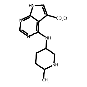 CCOC(=O)c1c[nH]c2ncnc(NC3CCC(C)NC3)c12